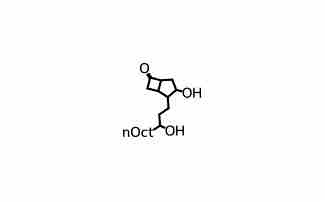 CCCCCCCCC(O)CCC1C(O)CC2C(=O)CC21